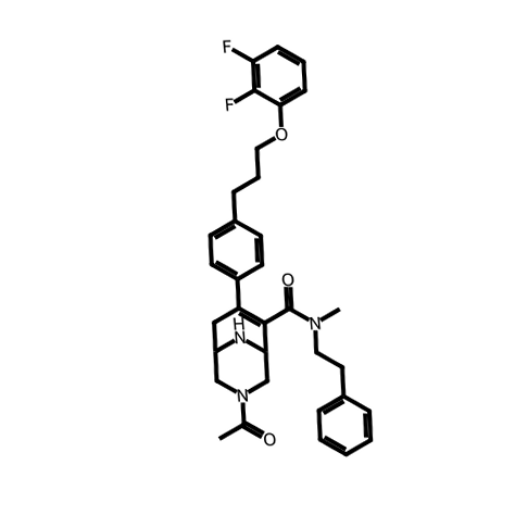 CC(=O)N1CC2CC(c3ccc(CCCOc4cccc(F)c4F)cc3)=C(C(=O)N(C)CCc3ccccc3)C(C1)N2